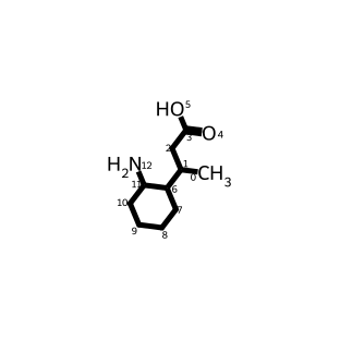 CC(CC(=O)O)C1CCCCC1N